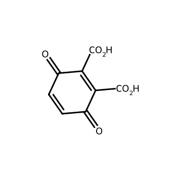 O=C(O)C1=C(C(=O)O)C(=O)C=CC1=O